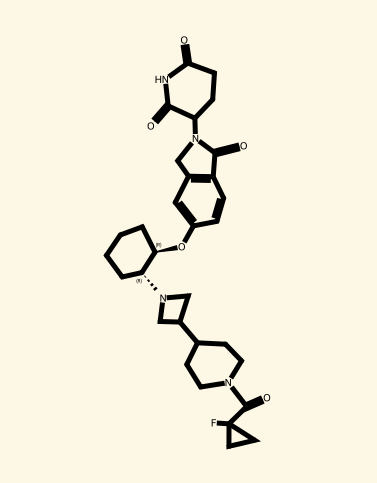 O=C1CCC(N2Cc3cc(O[C@@H]4CCCC[C@H]4N4CC(C5CCN(C(=O)C6(F)CC6)CC5)C4)ccc3C2=O)C(=O)N1